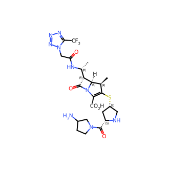 C[C@@H](NC(=O)Cn1nnnc1C(F)(F)F)[C@H]1C(=O)N2C(C(=O)O)=C(S[C@@H]3CN[C@H](C(=O)N4CCC(N)C4)C3)[C@H](C)[C@H]12